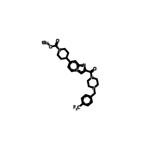 CC(C)(C)OC(=O)N1CCC(c2ccn3cc(C(=O)N4CCN(Cc5ccc(C(F)(F)F)cc5)CC4)nc3c2)CC1